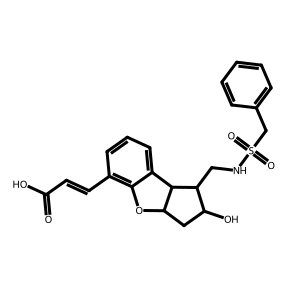 O=C(O)C=Cc1cccc2c1OC1CC(O)C(CNS(=O)(=O)Cc3ccccc3)C21